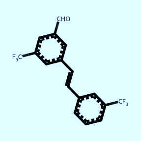 O=Cc1cc(/C=C/c2cccc(C(F)(F)F)c2)cc(C(F)(F)F)c1